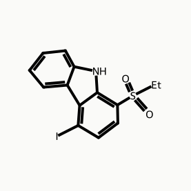 CCS(=O)(=O)c1ccc(I)c2c1[nH]c1ccccc12